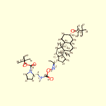 C/C(=N\OC(=O)N(C)C[C@@H]1CCCN1C(=O)OC(C)(C)C)[C@H]1CC[C@H]2[C@@H]3CCC4C[C@@H](O[Si](C)(C)C(C)(C)C)CC[C@]4(C)[C@H]3CC[C@]12C